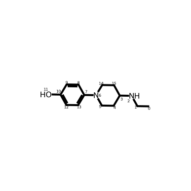 CCNC1CCN(c2ccc(O)cc2)CC1